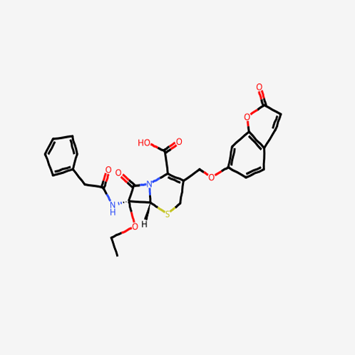 CCO[C@@]1(NC(=O)Cc2ccccc2)C(=O)N2C(C(=O)O)=C(COc3ccc4ccc(=O)oc4c3)CS[C@@H]21